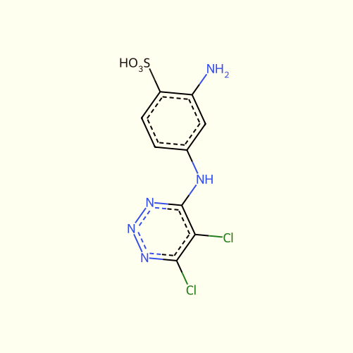 Nc1cc(Nc2nnnc(Cl)c2Cl)ccc1S(=O)(=O)O